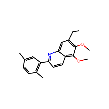 CCc1cc2nc(-c3cc(C)ccc3C)ccc2c(OC)c1OC